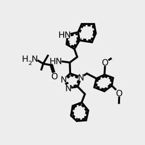 COc1ccc(Cn2c(Cc3ccccc3)nnc2C(Cc2c[nH]c3ccccc23)NC(=O)C(C)(C)N)c(OC)c1